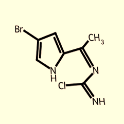 C/C(=N/C(=N)Cl)c1cc(Br)c[nH]1